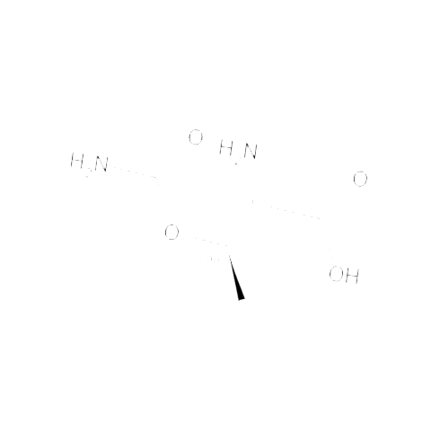 C[C@@H](OC(N)=O)[C@H](N)C(=O)O